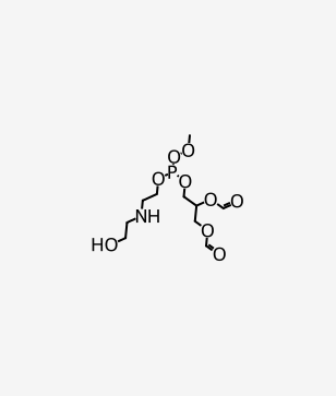 COOP(OCCNCCO)OCC(COC=O)OC=O